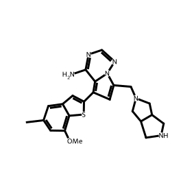 COc1cc(C)cc2cc(-c3cc(CN4CC5CNCC5C4)n4ncnc(N)c34)sc12